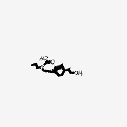 CCCN(Cc1ccc(CCO)cc1)C(=O)O